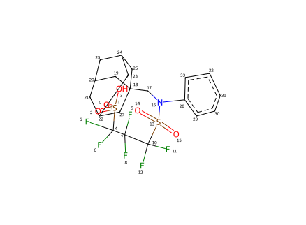 O=S(=O)(O)C(F)(F)C(F)(F)C(F)(F)S(=O)(=O)N(CC12CC3CC(CC(C3)C1)C2)c1ccccc1